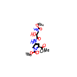 COC(=O)[C@@H]1C[C@@H](NC(=O)[C@@H](O)CNC(=O)OC(C)(C)C)CN1C(=O)OC(C)(C)C